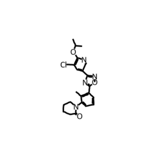 Cc1c(-c2nc(-c3cnc(OC(C)C)c(Cl)c3)no2)cccc1N1CCCCC1=O